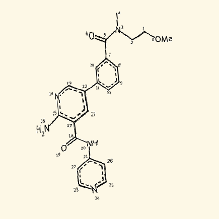 COCCN(C)C(=O)c1cccc(-c2cnc(N)c(C(=O)Nc3ccncc3)c2)c1